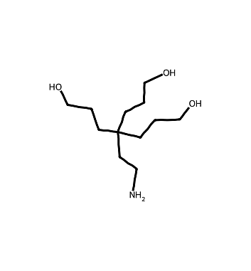 NCCC(CCCO)(CCCO)CCCO